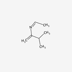 C=C(/N=C\C)C(C)C